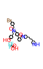 O=C(Cc1ccc(Br)cc1)N(CCc1ccc(O)cc1)Cc1ccc(-c2ccccc2C(=O)N2CCC(CCCC3CCNCC3)CC2)cc1.O=C(O)C(F)(F)F